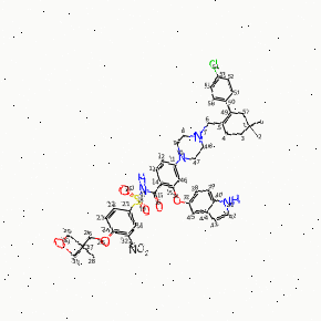 CC1(C)CCC(CN2CCN(c3ccc(C(=O)NS(=O)(=O)c4ccc(OCC5(C)COC5)c([N+](=O)[O-])c4)c(Oc4ccc5[nH]ccc5c4)c3)CC2)=C(c2ccc(Cl)cc2)C1